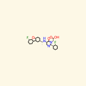 C[C@@H](Nc1cnc(-c2ccccc2F)n(CC(=O)O)c1=O)c1ccc2oc3c(F)cccc3c2c1